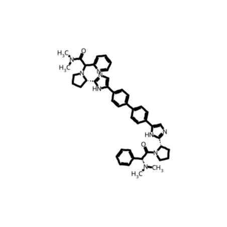 CN(C)C(=O)C(c1ccccn1)N1CCC[C@H]1c1ncc(-c2ccc(-c3ccc(-c4cnc([C@@H]5CCCN5C(=O)[C@@H](c5ccccc5)N(C)C)[nH]4)cc3)cc2)[nH]1